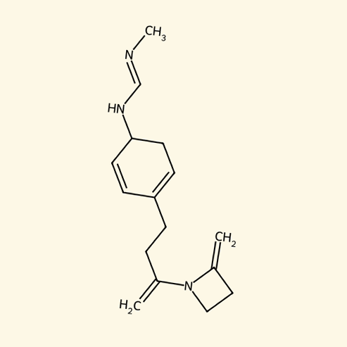 C=C(CCC1=CCC(N/C=N/C)C=C1)N1CCC1=C